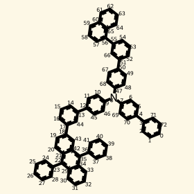 c1ccc(-c2ccc(N(c3ccc(-c4cccc(-c5ccc6c(-c7ccccc7)c7ccccc7c(-c7ccccc7)c6c5)c4)cc3)c3ccc(-c4cccc(-c5cccc6ccccc56)c4)cc3)cc2)cc1